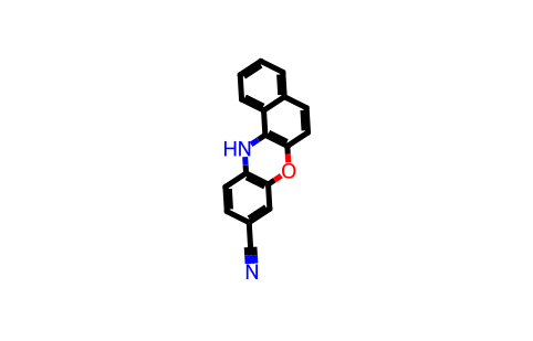 N#Cc1ccc2c(c1)Oc1ccc3ccccc3c1N2